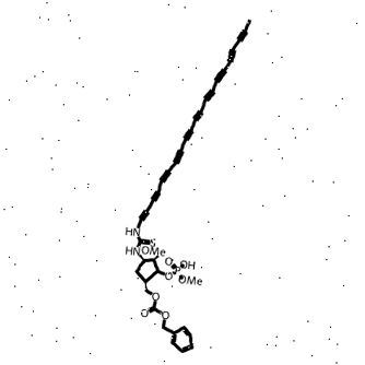 CC#CC#CC#CC#CC#CC#CC#CC#CC#CC#CNC(=S)N[C@@H]1C[C@H](COC(=O)OCc2ccccc2)C(OP(=O)(O)OC)[C@@H]1OC